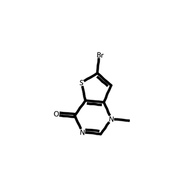 Cn1cnc(=O)c2sc(Br)cc21